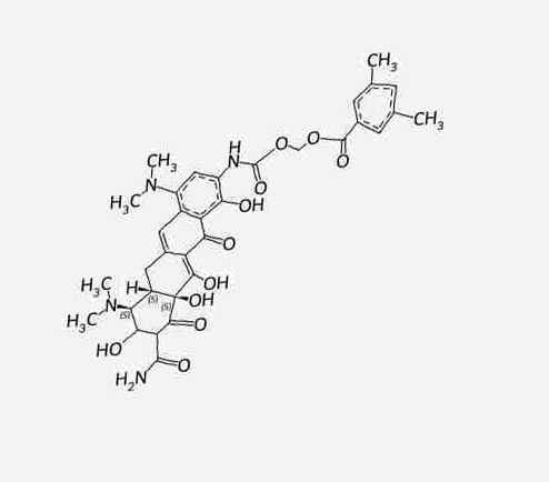 Cc1cc(C)cc(C(=O)OCOC(=O)Nc2cc(N(C)C)c3c(c2O)C(=O)C2=C(O)[C@]4(O)C(=O)C(C(N)=O)C(O)[C@@H](N(C)C)[C@@H]4CC2=C3)c1